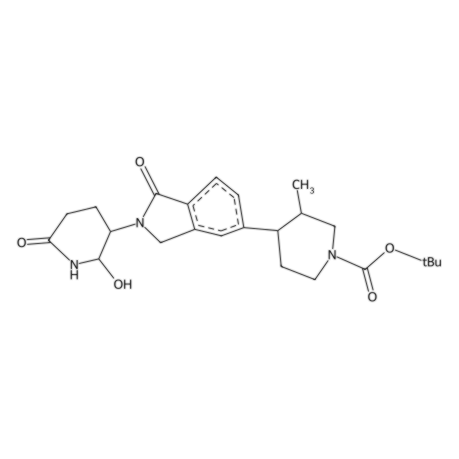 CC1CN(C(=O)OC(C)(C)C)CCC1c1ccc2c(c1)CN(C1CCC(=O)NC1O)C2=O